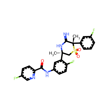 C[C@@]1(c2cc(NC(=O)c3ccc(F)cn3)ccc2F)CS(=O)(=O)[C@@](C)(c2cccc(F)c2)C(=N)N1